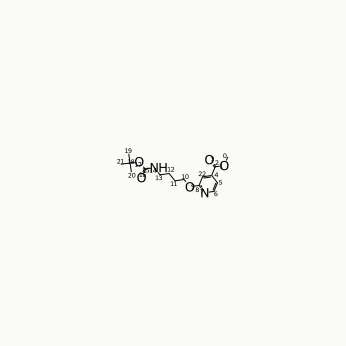 COC(=O)c1ccnc(OCCCCNC(=O)OC(C)(C)C)c1